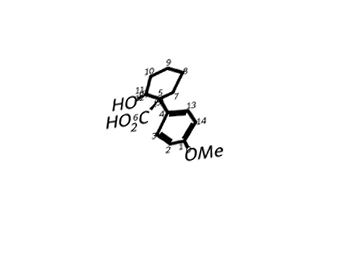 COc1ccc([C@@]2(C(=O)O)CCCC[C@@H]2O)cc1